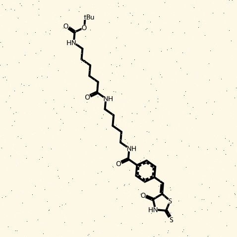 CC(C)(C)OC(=O)NCCCCCC(=O)NCCCCCNC(=O)c1ccc(C=C2SC(=S)NC2=O)cc1